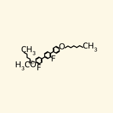 CCCCCCCCOc1ccc(-c2ccc(-c3ccc(O[C@H](C)CCCCC)c(F)c3)cc2F)cc1